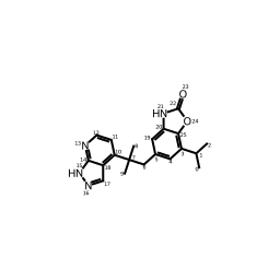 CC(C)c1cc(CC(C)(C)c2ccnc3[nH]ncc23)cc2[nH]c(=O)oc12